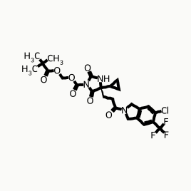 CC(C)(C)C(=O)OCOC(=O)N1C(=O)N[C@](CCC(=O)N2Cc3cc(Cl)c(C(F)(F)F)cc3C2)(C2CC2)C1=O